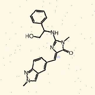 CN1C(=O)/C(=C/c2ccc3nn(C)cc3c2)N=C1NC(CO)c1ccccc1